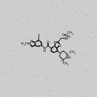 C[C@H]1CN(c2ccc(C(=O)Nc3cc(F)c4nn(C)cc4c3)c3nc(CNS(C)(=O)=O)sc23)C[C@H](C)N1